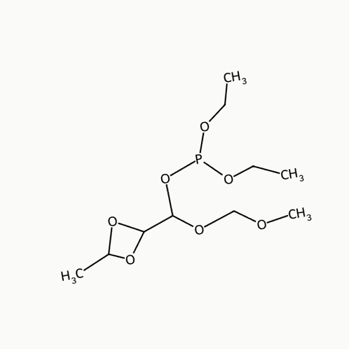 CCOP(OCC)OC(OCOC)C1OC(C)O1